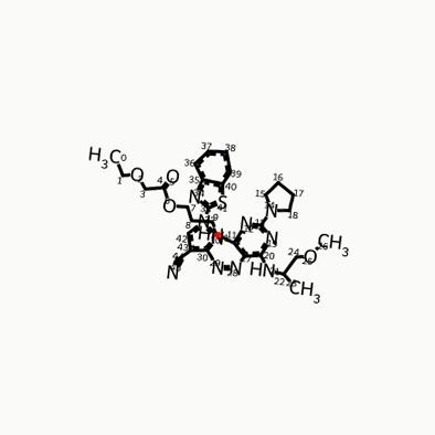 CCOCC(=O)OCCCNc1nc(N2CCCC2)nc(NC(C)COC)c1/N=N\c1nn(-c2nc3ccccc3s2)cc1C#N